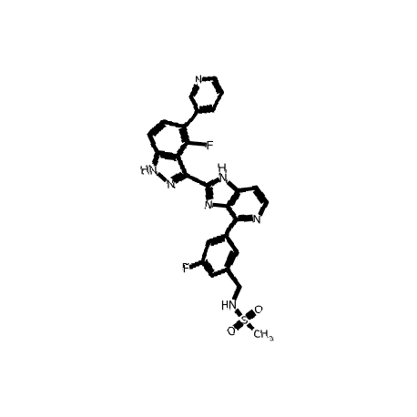 CS(=O)(=O)NCc1cc(F)cc(-c2nccc3[nH]c(-c4n[nH]c5ccc(-c6cccnc6)c(F)c45)nc23)c1